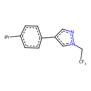 CC(C)c1ccc(-c2cnn(CC(F)(F)F)c2)cc1